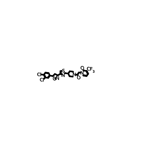 O=C(Cn1cccc(C(F)(F)F)c1=O)N1CCC(c2nc(C3=NOC(c4ccc(Cl)c(Cl)c4)C3)cs2)CC1